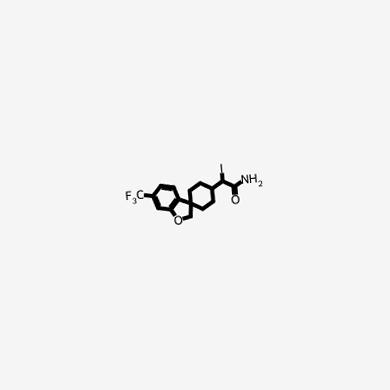 NC(=O)C(I)C1CCC2(CC1)COc1cc(C(F)(F)F)ccc12